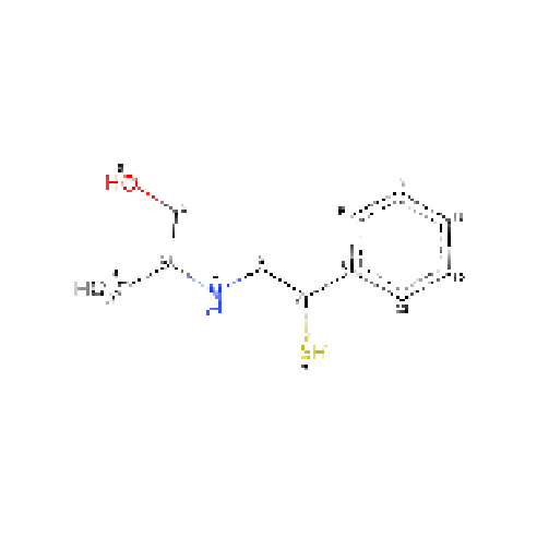 O=C(O)C(CO)NCC(S)c1ccccc1